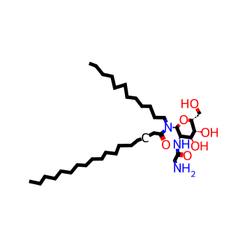 CCCCCCCCCCCCCCCCCC(=O)N(CCCCCCCCCCCC)[C@@H]1O[C@H](CO)[C@H](O)[C@H](O)[C@@H]1NC(=O)CN